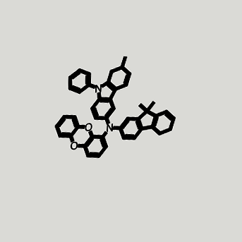 CC1C=Cc2c(n(-c3ccccc3)c3ccc(N(c4ccc5c(c4)C(C)(C)C4=C5CCC=C4)c4cccc5c4Oc4ccccc4O5)cc23)C1